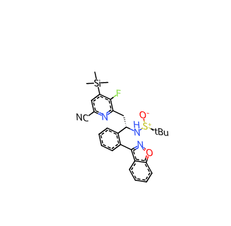 CC(C)(C)[S@+]([O-])N[C@@H](Cc1nc(C#N)cc([Si](C)(C)C)c1F)c1ccccc1-c1noc2ccccc12